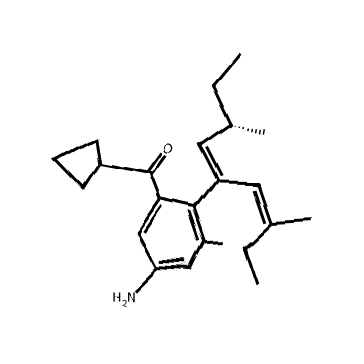 CC/C(C)=C\C(=C/[C@@H](C)CC)c1c(C)cc(N)cc1C(=O)C1CCC1